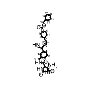 C[C@@H](NC(=O)c1[nH]c(=O)[nH]c(=O)c1N)c1cccc(/C(C=N)=C/NCC2CCN(C(=O)OCc3ccccc3)CC2)c1